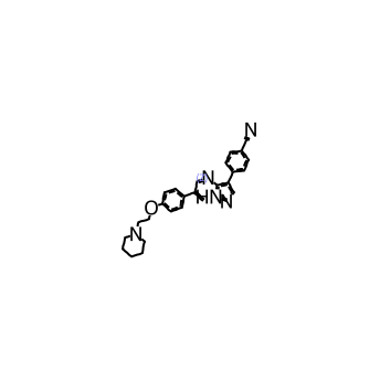 C=C(/C=N\c1[nH]ncc1-c1ccc(C#N)cc1)c1ccc(OCCN2CCCCC2)cc1